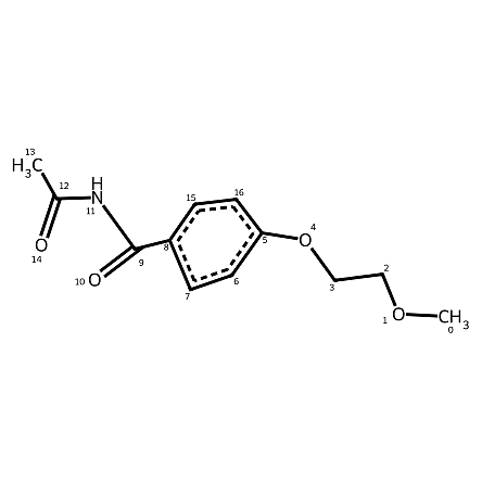 COCCOc1ccc(C(=O)NC(C)=O)cc1